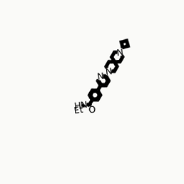 CCNC(=O)c1ccc(-c2ccc(N3CCC4(CC3)CCN(C3CCC3)CC4)nc2)cc1